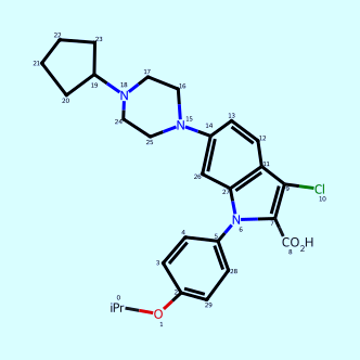 CC(C)Oc1ccc(-n2c(C(=O)O)c(Cl)c3ccc(N4CCN(C5CCCC5)CC4)cc32)cc1